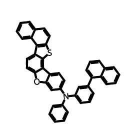 c1ccc(N(c2cccc(-c3cccc4ccccc34)c2)c2ccc3c(c2)oc2ccc4c(sc5ccc6ccccc6c54)c23)cc1